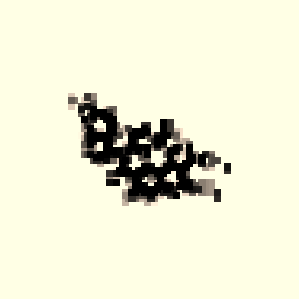 C[C@H]1OCc2c1c(N)nc1cc(F)c(C(=O)N(c3ccn(C)n3)C3COc4nc(C(F)(F)F)ccc43)cc21